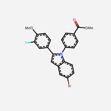 COC(=O)c1ccc(-n2c(-c3ccc(OC)c(F)c3)cc3cc(Br)ccc32)cc1